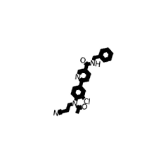 CC(=O)N(CCC#N)c1ccc(-c2ccc(C(=O)NCc3ccccc3)cn2)cc1Cl